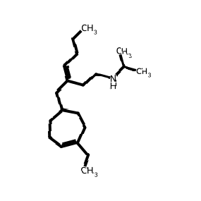 CCC/C=C(\CCNC(C)C)CC1CCC=C(CC)CC1